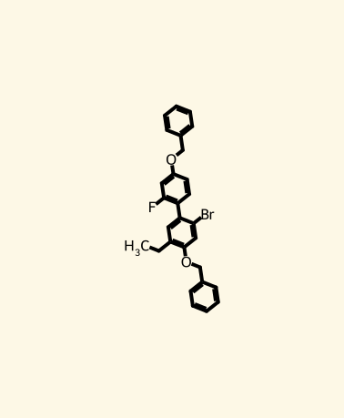 CCc1cc(-c2ccc(OCc3ccccc3)cc2F)c(Br)cc1OCc1ccccc1